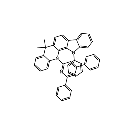 CC1(C)c2ccccc2N(c2cc(-c3ccccc3)nc(-c3ccccc3)n2)c2c1ccc1c3ccccc3n(-c3ccccc3)c21